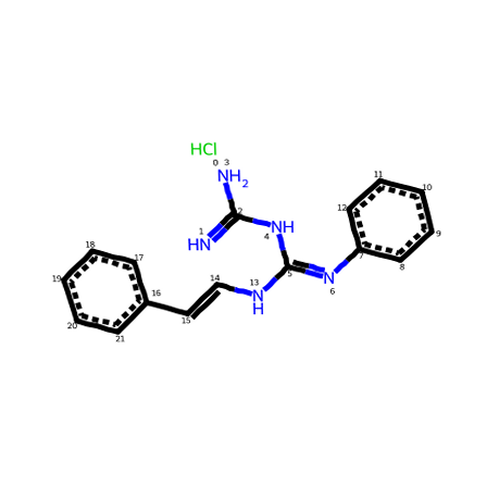 Cl.N=C(N)NC(=Nc1ccccc1)NC=Cc1ccccc1